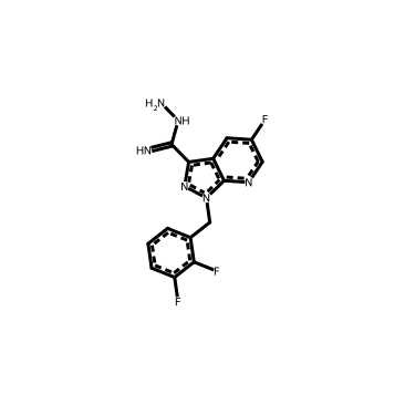 N=C(NN)c1nn(Cc2cccc(F)c2F)c2ncc(F)cc12